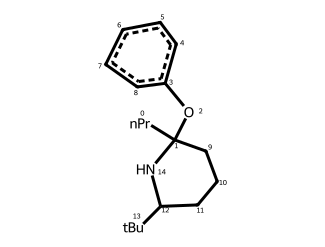 CCCC1(Oc2ccccc2)CCCC(C(C)(C)C)N1